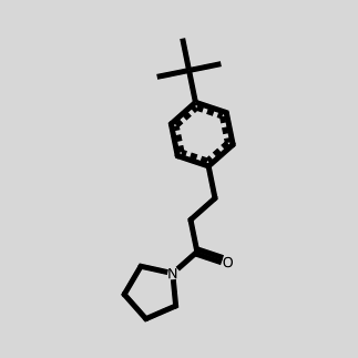 CC(C)(C)c1ccc(CCC(=O)N2CCCC2)cc1